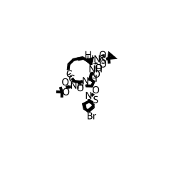 CC(C)(C)OC(=O)N[C@H]1CCCCC/C=C\[C@@H]2C[C@@]2(C(=O)NS(=O)(=O)C2(C)CC2)NC(=O)[C@@H]2C[C@@H](Oc3nc4ccc(Br)cc4s3)CN2C1=O